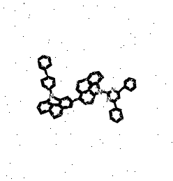 c1ccc(-c2ccc(-n3c4cccc5ccc6cc(-c7ccc8c9c7ccc7cccc(c79)n8-c7nc(-c8ccccc8)cc(-c8ccccc8)n7)cc3c6c54)cc2)cc1